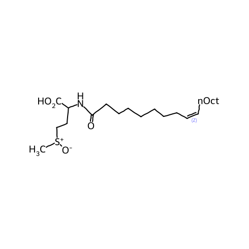 CCCCCCCC/C=C\CCCCCCCC(=O)NC(CC[S+](C)[O-])C(=O)O